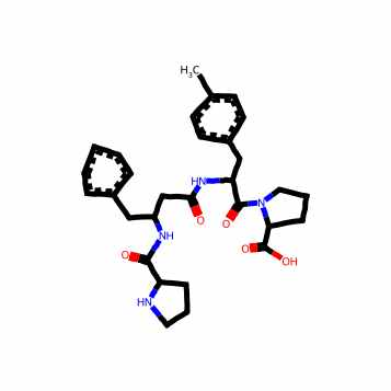 Cc1ccc(CC(NC(=O)CC(Cc2ccccc2)NC(=O)C2CCCN2)C(=O)N2CCCC2C(=O)O)cc1